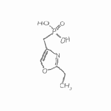 CCc1nc(CP(=O)(O)O)co1